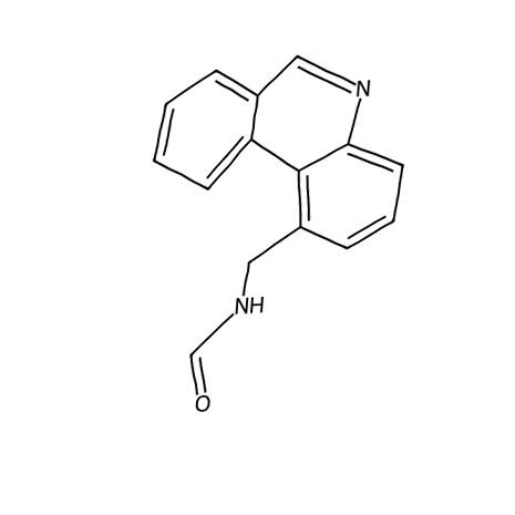 O=CNCc1cccc2ncc3ccccc3c12